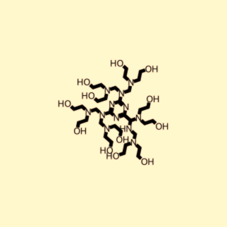 OCCN(CCO)CNC(c1nc(N(CN(CCO)CCO)CN(CCO)CCO)nc(N(CN(CCO)CCO)CN(CCO)CCO)n1)N(CCO)CCO